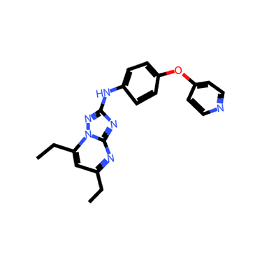 CCc1cc(CC)n2nc(Nc3ccc(Oc4ccncc4)cc3)nc2n1